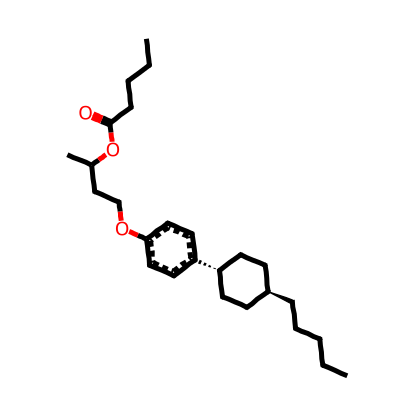 CCCCC[C@H]1CC[C@H](c2ccc(OCCC(C)OC(=O)CCCC)cc2)CC1